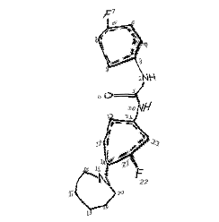 O=C(Nc1ccc(F)cc1)Nc1ccc(N2CCCCC2)c(F)c1